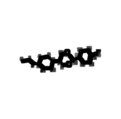 CCC[C@H]1CC[C@H]([C@H]2CO[C@H](C3CC=C(F)CC3)OC2)CC1